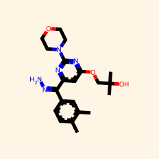 Cc1ccc(/C(=N/N)c2cc(OCC(C)(C)O)nc(N3CCOCC3)n2)cc1C